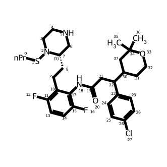 CCCSN1CCNC[C@@H]1CCc1c(F)ccc(F)c1NC(=O)CC(c1ccc(Cl)cc1)C1CCOC(C)(C)C1